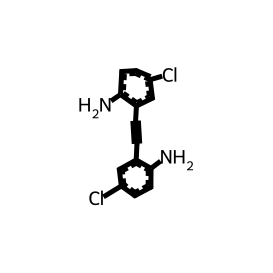 Nc1ccc(Cl)cc1C#Cc1cc(Cl)ccc1N